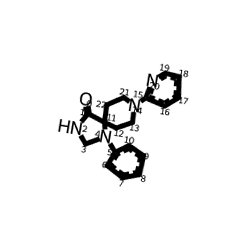 O=C1NCN(c2ccccc2)C12CCN(c1cc[c]cn1)CC2